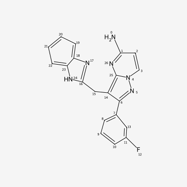 Nc1ccn2nc(-c3cccc(F)c3)c(Cc3nc4ccccc4[nH]3)c2n1